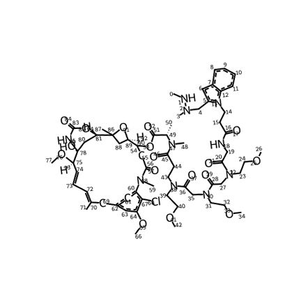 CNN(C)Cc1cc2ccccc2n1CCC(=O)NCC(=O)N(CCOC)CC(=O)N(CCOC)CC(=O)N(CCOC)CCC(=O)N(C)[C@@H](C)C(=O)O[C@H]1CC(=O)N(C)c2cc(cc(OC)c2Cl)C/C(C)=C/C=C/[C@@H](OC)[C@@]2(O)C[C@H](OC(=O)N2)C2(C)C[C@@]1(C)O2